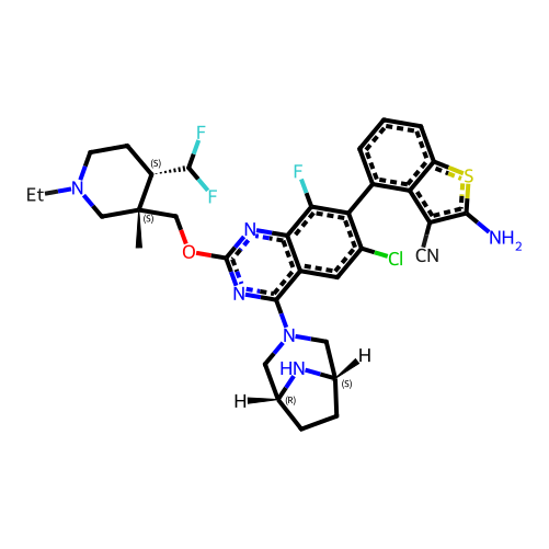 CCN1CC[C@H](C(F)F)[C@](C)(COc2nc(N3C[C@H]4CC[C@@H](C3)N4)c3cc(Cl)c(-c4cccc5sc(N)c(C#N)c45)c(F)c3n2)C1